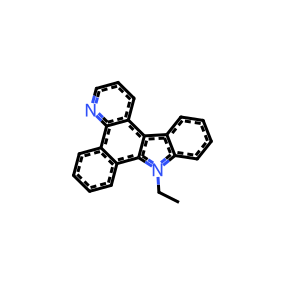 CCn1c2ccccc2c2c3cccnc3c3ccccc3c21